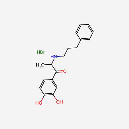 Br.CC(NCCCc1ccccc1)C(=O)c1ccc(O)c(O)c1